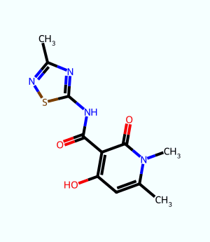 Cc1nsc(NC(=O)c2c(O)cc(C)n(C)c2=O)n1